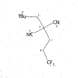 CC(C)(C)CC(C#N)(C#N)CCC(F)(F)F